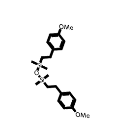 COc1ccc(CC[Si](C)(C)O[Si](C)(C)CCc2ccc(OC)cc2)cc1